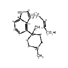 CN1CCC(O)(c2cccc3[nH]ccc23)CC1.O=C(O)C=CC(=O)O